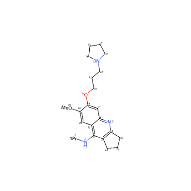 CCCNc1c2c(nc3cc(OCCCN4CCCC4)c(OC)cc13)CCC2